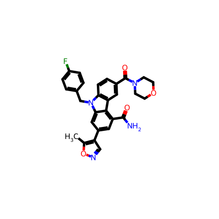 Cc1oncc1-c1cc(C(N)=O)c2c3cc(C(=O)N4CCOCC4)ccc3n(Cc3ccc(F)cc3)c2c1